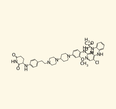 COc1cc(N2CCC(N3CCN(CCc4ccc(NC5CCC(=O)NC5=O)cc4)CC3)CC2)ccc1Nc1ncc(Cl)c(Nc2ccccc2NS(C)(=O)=O)n1